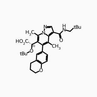 Cc1c(-c2ccc3c(c2)CCCO3)c([C@H](OC(C)(C)C)C(=O)O)c(C)n2ncc(C(=O)NCC(C)(C)C)c12